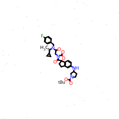 C[C@@H](C1CC1)N(Cc1ccc(F)cc1)C(=O)CN1C(=O)OC2(CCc3cc(NC4CCN(C(=O)OC(C)(C)C)C4)ccc32)C1=O